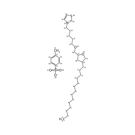 CCCCCCCCCCCCCCC1COC(COCCCCC[n+]2ccsc2)C1.Cc1ccc(S(=O)(=O)[O-])cc1